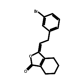 O=C1O/C(=C/Cc2cccc(Br)c2)C2=C1CCCC2